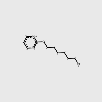 BrCCCCCCOc1ccccn1